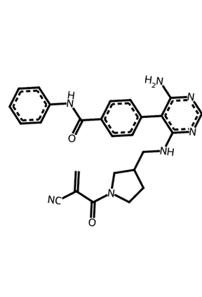 C=C(C#N)C(=O)N1CCC(CNc2ncnc(N)c2-c2ccc(C(=O)Nc3ccccc3)cc2)C1